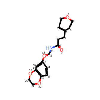 O=C(CCC1CCOCC1)NCOc1ccc2c(c1)OCCO2